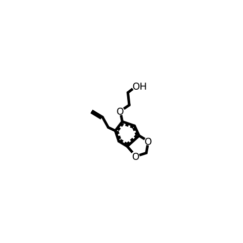 C=CCc1cc2c(cc1OCCO)OCO2